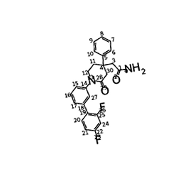 NC(=O)CC1(c2ccccc2)CCN(c2cccc(-c3ccc(F)cc3F)c2)C(=O)C1